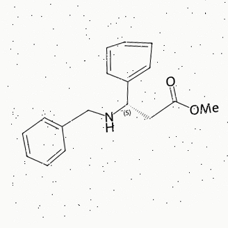 COC(=O)C[C@H](NCc1ccccc1)c1ccccc1